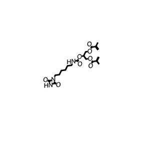 C=C(C)C(=O)OCC(COC(=O)C(=C)C)OC(=O)NCCCCCCN1C(=O)NC1=O